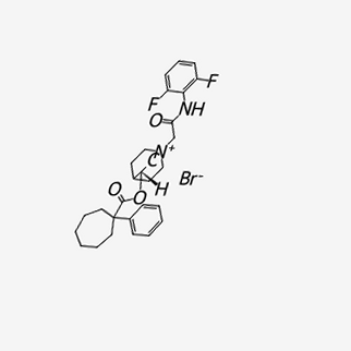 O=C(C[N+]12CCC(CC1)[C@@H](OC(=O)C1(c3ccccc3)CCCCCC1)C2)Nc1c(F)cccc1F.[Br-]